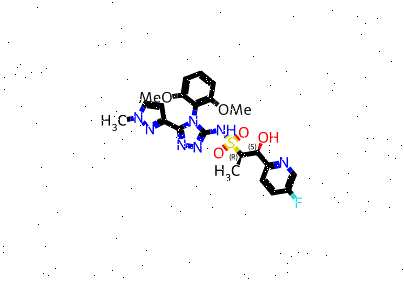 COc1cccc(OC)c1-n1c(NS(=O)(=O)[C@H](C)[C@@H](O)c2ccc(F)cn2)nnc1-c1ccn(C)n1